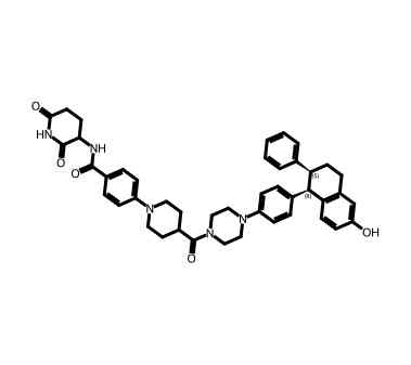 O=C1CCC(NC(=O)c2ccc(N3CCC(C(=O)N4CCN(c5ccc([C@@H]6c7ccc(O)cc7CC[C@@H]6c6ccccc6)cc5)CC4)CC3)cc2)C(=O)N1